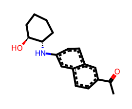 CC(=O)c1ccc2cc(N[C@H]3CCCC[C@@H]3O)ccc2c1